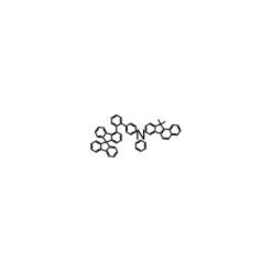 CC1(C)c2ccc(N(c3ccccc3)c3ccc(-c4ccccc4-c4cccc5c4-c4ccccc4C54c5ccccc5-c5ccccc54)cc3)cc2-c2ccc3ccccc3c21